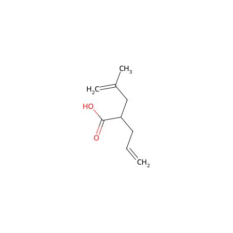 C=CCC(CC(=C)C)C(=O)O